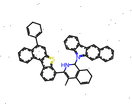 CC1=C(c2cccc3c2sc2cc(C4=CCCC=C4)c4ccccc4c23)NC(n2c3ccccc3c3cc4ccccc4cc32)C2=C1C=CCC2